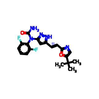 CC(C)(C)c1cnc(/C=C/c2cc(N(C(N)=O)c3c(F)cccc3F)n[nH]2)o1